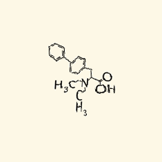 CCN(CC)C(Cc1ccc(-c2ccccc2)cc1)C(=O)O